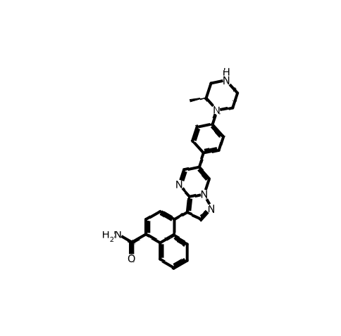 C[C@H]1CNCCN1c1ccc(-c2cnc3c(-c4ccc(C(N)=O)c5ccccc45)cnn3c2)cc1